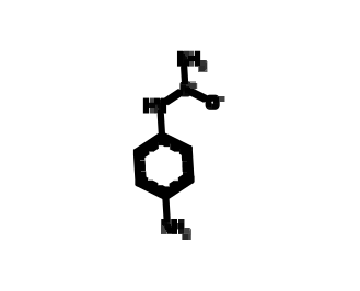 Nc1ccc(N[S+](N)[O-])cc1